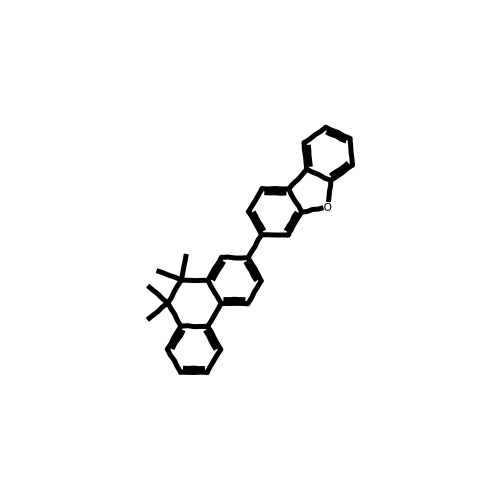 CC1(C)c2ccccc2-c2ccc(-c3ccc4c(c3)oc3ccccc34)cc2C1(C)C